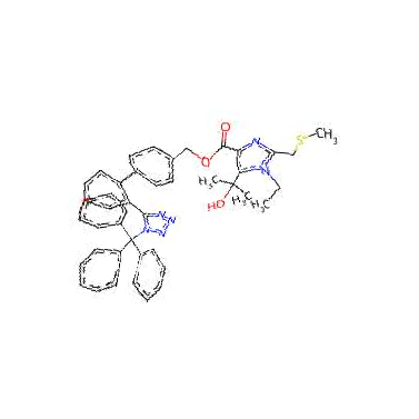 CCn1c(CSC)nc(C(=O)OCc2ccc(-c3ccccc3-c3nnnn3C(c3ccccc3)(c3ccccc3)c3ccccc3)cc2)c1C(C)(C)O